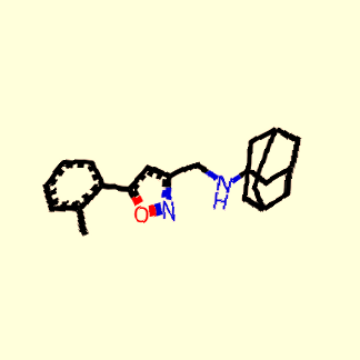 Cc1ccccc1-c1cc(CNC23CC4CC(CC(C4)C2)C3)no1